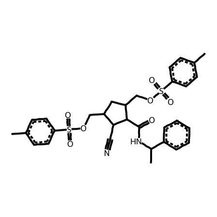 Cc1ccc(S(=O)(=O)OCC2CC(COS(=O)(=O)c3ccc(C)cc3)C(C(=O)NC(C)c3ccccc3)C2C#N)cc1